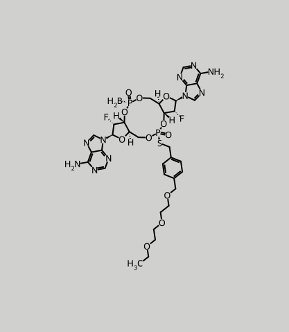 B[P@]1(=O)OC[C@H]2O[C@@H](n3cnc4c(N)ncnc43)[C@H](F)[C@@H]2O[P@@](=O)(SCc2ccc(COCCOCCOCC)cc2)OC[C@H]2O[C@@H](n3cnc4c(N)ncnc43)[C@H](F)[C@@H]2O1